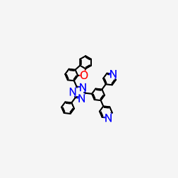 c1ccc(-c2nc(-c3cc(-c4ccncc4)cc(-c4ccncc4)c3)nc(-c3cccc4c3oc3ccccc34)n2)cc1